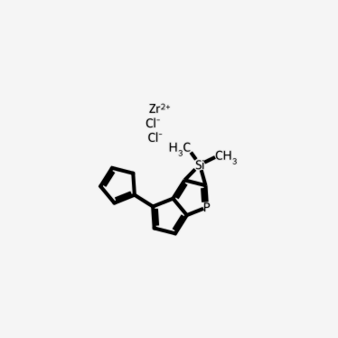 C[Si]1(C)C2=PC3=CC=C(C4=CC=CC4)C3=C21.[Cl-].[Cl-].[Zr+2]